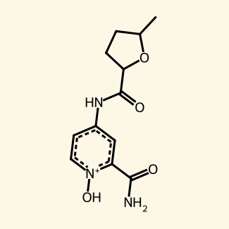 CC1CCC(C(=O)Nc2cc[n+](O)c(C(N)=O)c2)O1